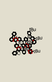 CC(C)(C)c1ccc2c(c1)c1cc(C(C)(C)C)ccc1n2-c1ccc2c(c1)N(c1cc(-c3ccccc3)cc(-c3ccccc3)c1)c1cc(-c3c(-c4cccc5c4oc4ccccc45)cccc3-n3c4ccc(C(C)(C)C)cc4c4cc(C(C)(C)C)ccc43)cc3c1C2c1ccc(-n2c4ccccc4c4ccccc42)cc1N3c1c(-c2ccccc2)cccc1C(C)(C)C